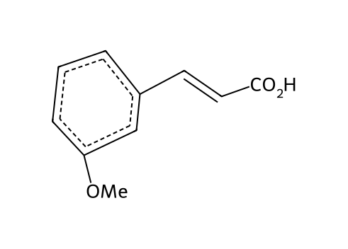 COc1cccc(C=CC(=O)O)c1